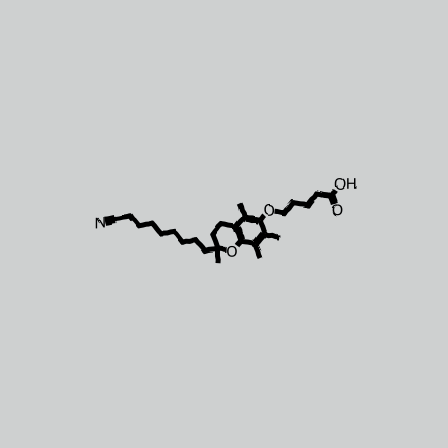 Cc1c(C)c2c(c(C)c1OCCCCC(=O)O)CCC(C)(CCCCCCCCC#N)O2